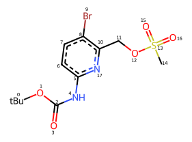 CC(C)(C)OC(=O)Nc1ccc(Br)c(COS(C)(=O)=O)n1